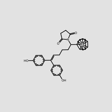 O=C1CCC(=O)N1C(CCCC=C(c1ccc(O)cc1)c1ccc(O)cc1)[C]12[CH]3[CH]4[CH]5[CH]1[Fe]45321678[CH]2[CH]1[CH]6[CH]7[CH]28